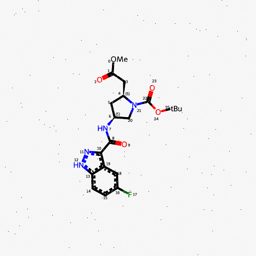 COC(=O)C[C@@H]1C[C@H](NC(=O)c2n[nH]c3ccc(F)cc23)CN1C(=O)OC(C)(C)C